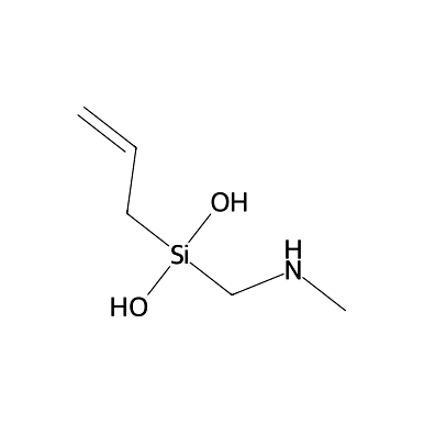 C=CC[Si](O)(O)CNC